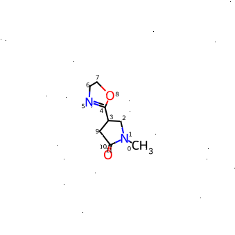 CN1CC(C2=NCCO2)CC1=O